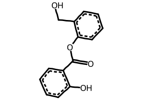 O=C(Oc1ccccc1CO)c1ccccc1O